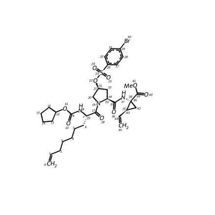 C=CCCCCC[C@H](NC(=O)OC1CCCC1)C(=O)N1C[C@@H](OS(=O)(=O)c2ccc(Br)cc2)C[C@H]1C(=O)N[C@]1(C(=O)OC)C[C@H]1C=C